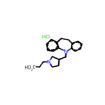 Cl.O=C(O)CCN1CCC(CN2c3ccccc3CCc3ccccc32)C1